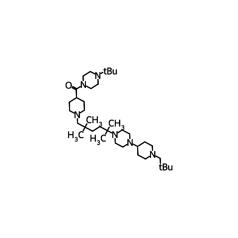 CC(C)(C)CN1CCC(N2CCN(C(C)(C)CCC(C)(C)CN3CCC(C(=O)N4CCN(C(C)(C)C)CC4)CC3)CC2)CC1